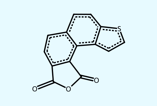 O=C1OC(=O)c2c1ccc1ccc3sccc3c21